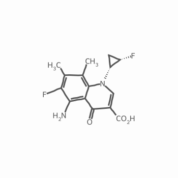 Cc1c(F)c(N)c2c(=O)c(C(=O)O)cn([C@@H]3C[C@@H]3F)c2c1C